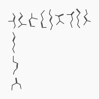 C/C=C(\C)CC.C/C=C/C(C)C.C/C=C/CCC.C/C=C\C(C)C.C/C=C\CCC.C=C(C)C(C)C.C=C(C)CCC.C=C(CC)CC.C=CCCCC.CC/C=C/CC.CC/C=C\CC.CCC=C(C)C